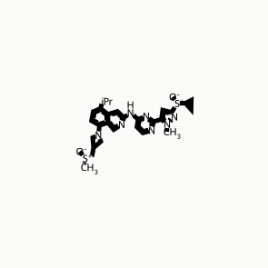 CC(C)c1ccc(N2CC(C[S+](C)[O-])C2)c2cnc(Nc3ccnc(-c4cc([S+]([O-])C5CC5)nn4C)n3)cc12